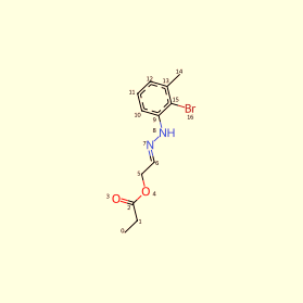 CCC(=O)OCC=NNc1cccc(C)c1Br